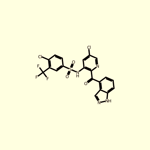 O=C(c1ncc(Cl)cc1NS(=O)(=O)c1ccc(Cl)c(C(F)(F)F)c1)c1cccc2[nH]ncc12